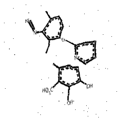 CCc1ccccn1.Cc1ccc(O)c(O)c1C(=O)O.Cc1cccc(C)c1[N]=[Ni]